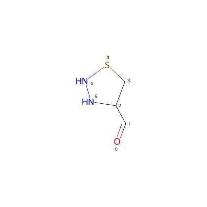 O=CC1CSNN1